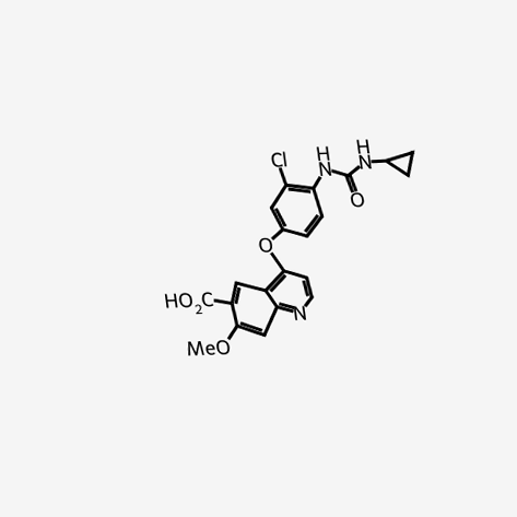 COc1cc2nccc(Oc3ccc(NC(=O)NC4CC4)c(Cl)c3)c2cc1C(=O)O